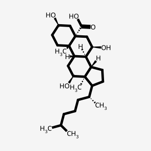 CC(C)CCC[C@@H](C)C1CC[C@H]2[C@@H]3[C@H](O)C[C@]4(C(=O)O)C[C@H](O)CC[C@]4(C)[C@H]3C[C@H](O)[C@]12C